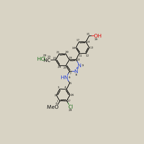 COc1ccc(CNc2nnc(-c3ccc(CO)cc3)c3ccc(C#N)cc23)cc1Cl.Cl